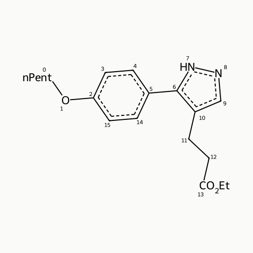 CCCCCOc1ccc(-c2[nH]ncc2CCC(=O)OCC)cc1